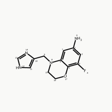 Nc1cc(F)c2c(c1)N(Cc1c[nH]cn1)CCO2